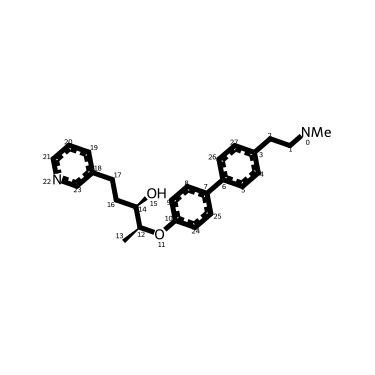 CNCCc1ccc(-c2ccc(O[C@@H](C)[C@H](O)CCc3cccnc3)cc2)cc1